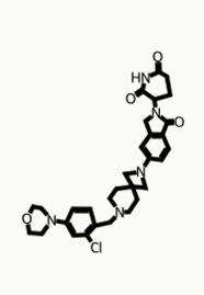 O=C1CCC(N2Cc3cc(N4CC5(CCN(Cc6ccc(N7CCOCC7)cc6Cl)CC5)C4)ccc3C2=O)C(=O)N1